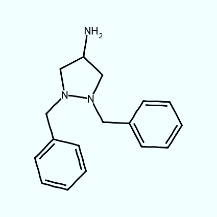 NC1CN(Cc2ccccc2)N(Cc2ccccc2)C1